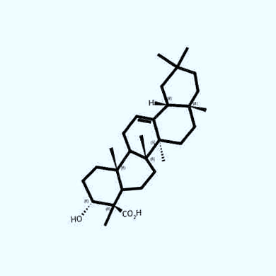 CC1(C)CC[C@]2(C)CC[C@]3(C)C(=CCC4[C@@]5(C)CC[C@@H](O)[C@](C)(C(=O)O)C5CC[C@]43C)[C@@H]2C1